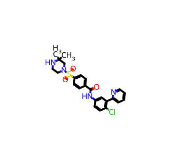 CC1(C)CN(S(=O)(=O)c2ccc(C(=O)Nc3ccc(Cl)c(-c4ccccn4)c3)cc2)CCN1